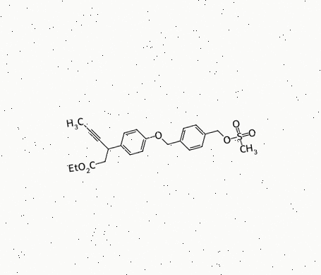 CC#CC(CC(=O)OCC)c1ccc(OCc2ccc(COS(C)(=O)=O)cc2)cc1